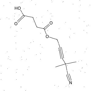 CC(C)(C#N)C#CCOC(=O)CCC(=O)O